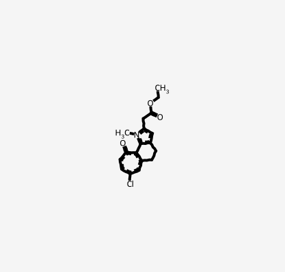 CCOC(=O)Cc1cc2c(n1C)-c1c(cc(Cl)ccc1=O)CC2